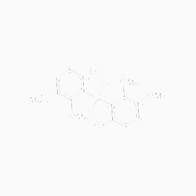 CCO[Si](OCC)(c1cccc(OC)c1OC)c1cccc(OC)c1OC